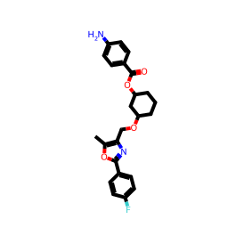 Cc1oc(-c2ccc(F)cc2)nc1COC1CCCC(OC(=O)c2ccc(N)cc2)C1